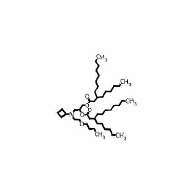 CCCCCCCCC(CCCCCC)CC(=O)OCC(CN(CCOCCCC)C1CCC1)OC(=O)CC(CCCCCC)CCCCCCCC